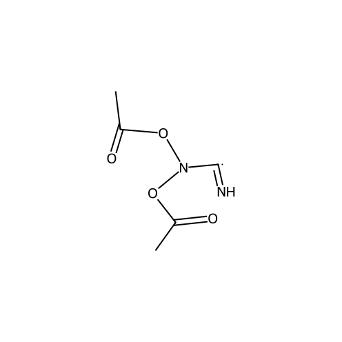 CC(=O)ON([C]=N)OC(C)=O